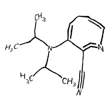 CC(C)N(c1cccnc1C#N)C(C)C